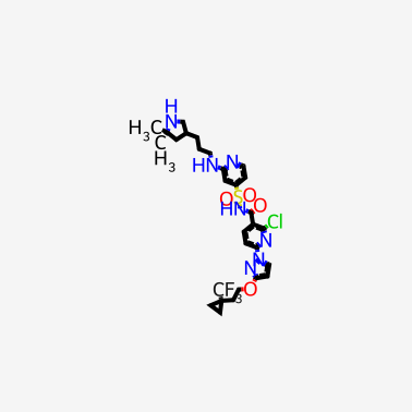 CC1(C)CC(CCCNc2cc(S(=O)(=O)NC(=O)c3ccc(-n4ccc(OCCC5(C(F)(F)F)CC5)n4)nc3Cl)ccn2)CN1